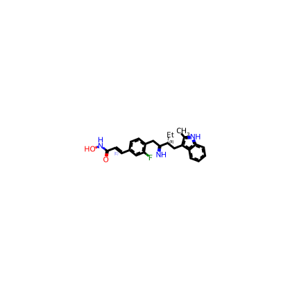 CC[C@H](Cc1c(C)[nH]c2ccccc12)C(=N)Cc1ccc(/C=C/C(=O)NO)cc1F